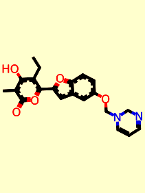 CCc1c(-c2cc3cc(OCN4C=CC=NC4)ccc3o2)oc(=O)c(C)c1O